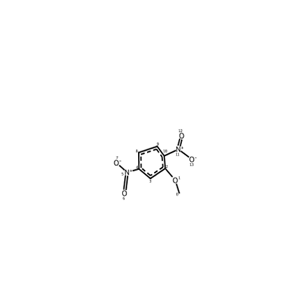 COc1cc([N+](=O)[O-])ccc1[N+](=O)[O-]